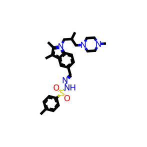 Cc1ccc(S(=O)(=O)NN=Cc2ccc3c(c2)c(C)c(C)n3CC(C)CN2CCN(C)CC2)cc1